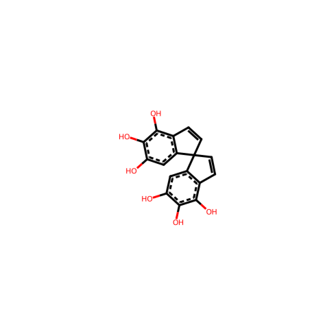 Oc1cc2c(c(O)c1O)C=CC21C=Cc2c1cc(O)c(O)c2O